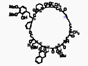 CCCC[C@H]1C(=O)N[C@@H](Cc2ccc3ccccc3c2)C(=O)N(C)[C@@H](COC(C)(C)C)C(=O)NCC(=O)N(C)CCC/C=C/C(=O)OCC(C)(C)C(=O)C(=O)N2CCCC[C@H]2C(=O)O[C@H](CCc2ccc(OC)c(OC)c2O)c2cccc(c2)OCC(=O)N1C